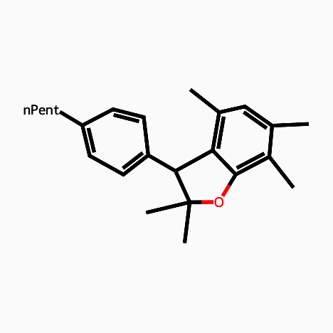 CCCCCc1ccc(C2c3c(C)cc(C)c(C)c3OC2(C)C)cc1